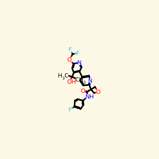 CC(C)(O)c1cc(OC(F)F)ncc1-c1ccc(C2(C(=O)Nc3ccc(F)cc3)COC2)nc1